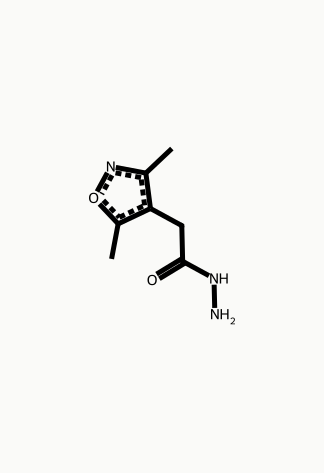 Cc1noc(C)c1CC(=O)NN